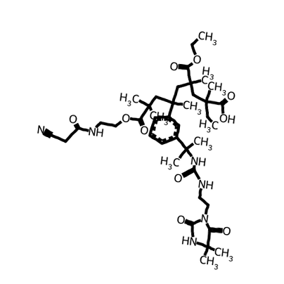 CCOC(=O)C(C)(CC(C)(CC)C(=O)O)CC(C)(CC(C)(C)C(=O)OCCNC(=O)CC#N)c1cccc(C(C)(C)NC(=O)NCCN2C(=O)NC(C)(C)C2=O)c1